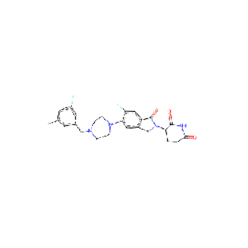 Cc1cc(F)cc(CN2CCN(c3cc4c(cc3F)C(=O)N(C3CCC(=O)NC3=O)C4)CC2)c1